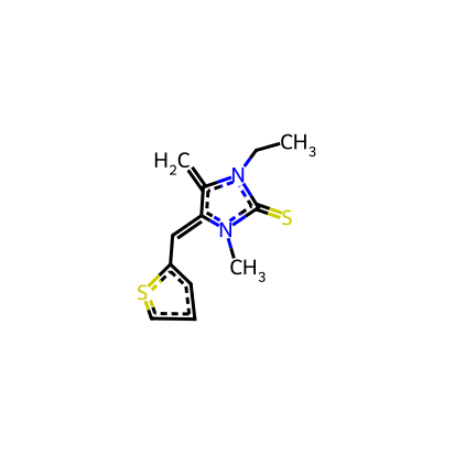 C=c1/c(=C/c2cccs2)n(C)c(=S)n1CC